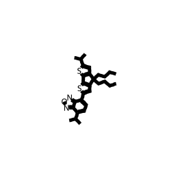 CCCCC1(CCCC)c2cc(-c3ccc(C(C)C)c4nonc34)sc2-c2sc(C(C)C)cc21